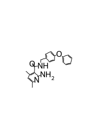 Cc1cc(C)c(C(=O)NCc2ccc(Oc3ccccc3)cc2)c(N)n1